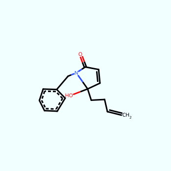 C=CCCC1(O)C=CC(=O)N1Cc1ccccc1